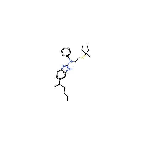 CCCCC(C)c1ccc2nc(N(CCSC(C)(CC)CC)c3ccccc3)[nH]c2c1